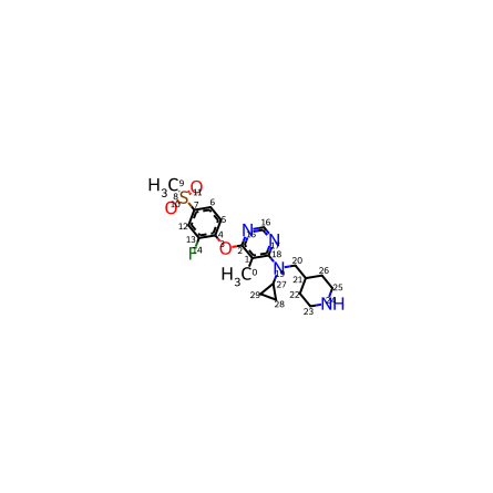 Cc1c(Oc2ccc(S(C)(=O)=O)cc2F)ncnc1N(CC1CCNCC1)C1CC1